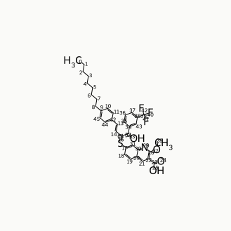 CCCCCCCCCc1ccc(C=C[C@H](Sc2ccc3cc(C(=O)O)c(OC)nc3c2)[C@@H](O)c2cccc(C(F)(F)F)c2)cc1